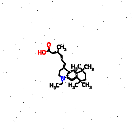 CCN1CCC(=CC=CC(C)=CC(=O)O)c2cc3c(cc21)C(C)(C)CCC3(C)C